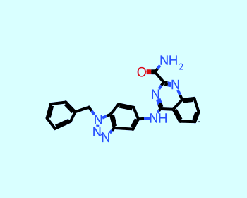 NC(=O)c1nc(Nc2ccc3c(c2)nnn3Cc2ccccc2)c2c[c]ccc2n1